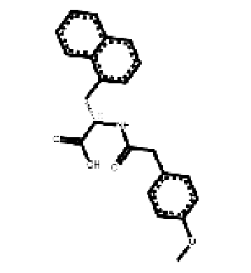 COc1ccc(CC(=O)N[C@@H](Cc2cccc3ccccc23)C(=O)O)cc1